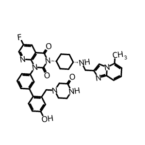 Cc1cccc2nc(CN[C@H]3CC[C@@H](n4c(=O)c5cc(F)cnc5n(-c5cccc(-c6ccc(O)cc6CN6CCNC(=O)C6)c5)c4=O)CC3)cn12